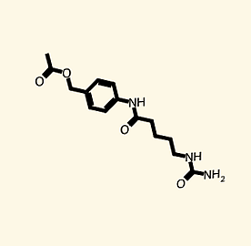 CC(=O)OCc1ccc(NC(=O)CCCCNC(N)=O)cc1